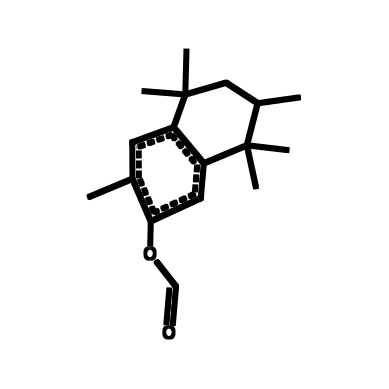 Cc1cc2c(cc1OC=O)C(C)(C)C(C)CC2(C)C